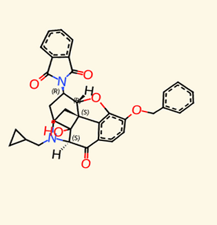 O=C1c2ccc(OCc3ccccc3)c3c2[C@]24CCN(CC5CC5)[C@H]1C2(O)CC[C@@H](N1C(=O)c2ccccc2C1=O)[C@@H]4O3